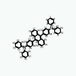 C1=CC(N(c2ccccc2)c2ccc(-c3c4ccccc4c(-c4ccc(N(c5ccccc5)c5ccccc5)cc4)c4ccccc34)cc2)=CCC1